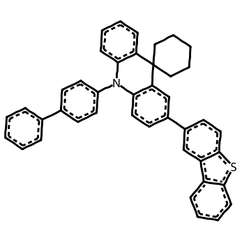 c1ccc(-c2ccc(N3c4ccccc4C4(CCCCC4)c4cc(-c5ccc6sc7ccccc7c6c5)ccc43)cc2)cc1